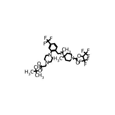 CN(Cc1ccc(C(F)(F)F)cc1N1CCN(CC(=O)OC(C)(C)C)CC1)C1(C)CCN(C(=O)OC(C(F)(F)F)C(F)(F)F)CC1